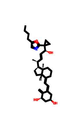 C=C1/C(=C\C=C2/CCC[C@]3(C)[C@@H]([C@H](C)/C=C/[C@@H](O)C4(c5ncc(CCCC)o5)CC4)CC[C@@H]23)C[C@@H](O)C[C@@H]1O